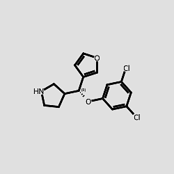 Clc1cc(Cl)cc(O[C@@H](c2ccoc2)C2CCNC2)c1